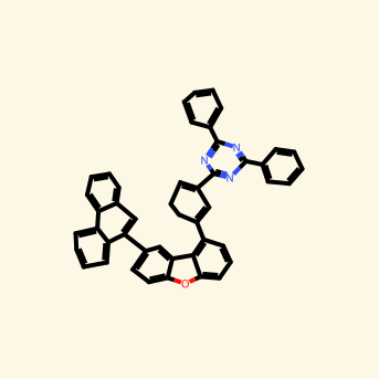 C1=C(c2nc(-c3ccccc3)nc(-c3ccccc3)n2)C=C(c2cccc3oc4ccc(-c5cc6ccccc6c6ccccc56)cc4c23)CC1